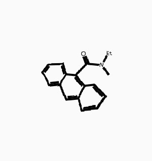 CCN(C)C(=O)c1c2ccccc2cc2ccccc12